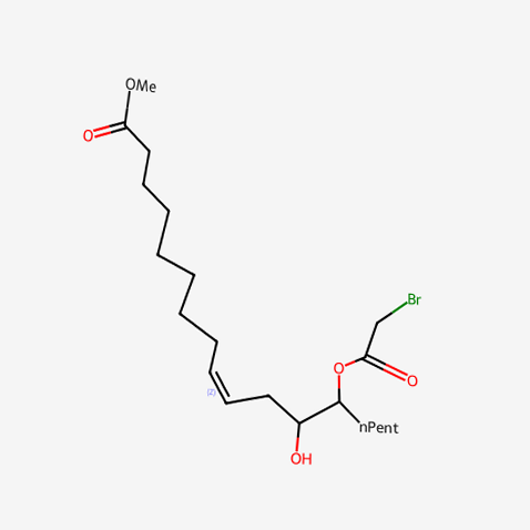 CCCCCC(OC(=O)CBr)C(O)C/C=C\CCCCCCCC(=O)OC